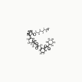 CCCCCCOc1nsnc1C1=CCC[N+](C)(C(C)OC(=O)Cc2ccccc2OC(=O)C2CCCCC2)C1.[I-]